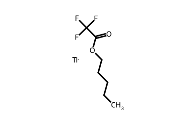 CCCCCOC(=O)C(F)(F)F.[Tl]